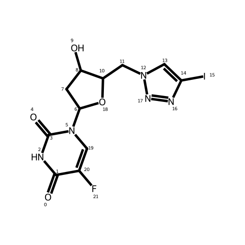 O=c1[nH]c(=O)n(C2CC(O)C(Cn3cc(I)nn3)O2)cc1F